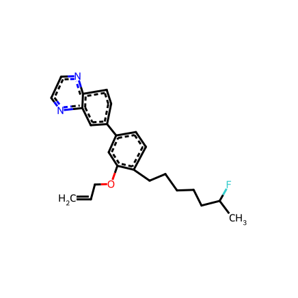 C=CCOc1cc(-c2ccc3nccnc3c2)ccc1CCCCCC(C)F